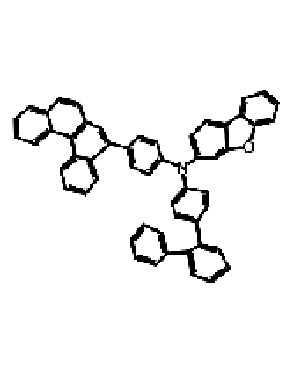 c1ccc(-c2ccccc2-c2ccc(N(c3ccc(-c4cc5ccc6ccccc6c5c5ccccc45)cc3)c3ccc4c(c3)oc3ccccc34)cc2)cc1